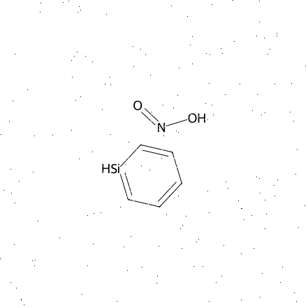 O=NO.c1cc[siH]cc1